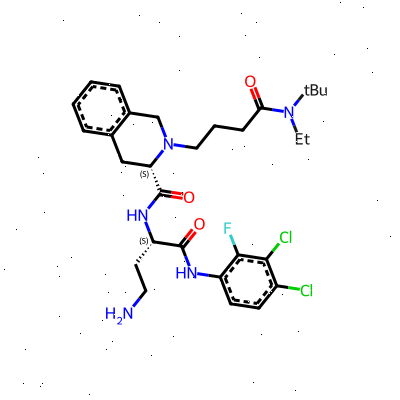 CCN(C(=O)CCCN1Cc2ccccc2C[C@H]1C(=O)N[C@@H](CCN)C(=O)Nc1ccc(Cl)c(Cl)c1F)C(C)(C)C